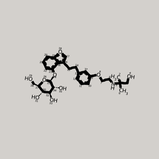 CC(C)(CO)NCCOc1cccc(CCc2coc3cccc(O[C@@H]4O[C@H](CO)[C@@H](O)[C@H](O)[C@H]4O)c23)c1